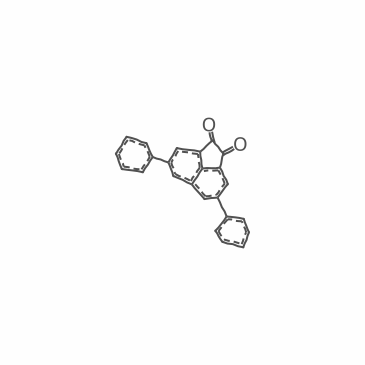 O=C1C(=O)c2cc(-c3ccccc3)cc3cc(-c4ccccc4)cc1c23